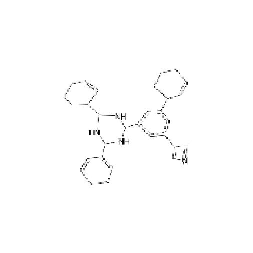 C1=CC(C2NC(c3cc(C4=CN=C4)cc(C4C=CCCC4)c3)NC(C3C=CCCC3)N2)=CCC1